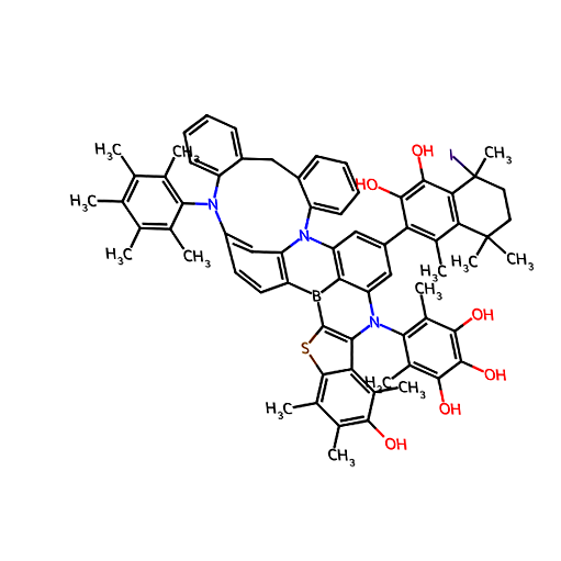 Cc1c(C)c(C)c(N2c3ccc4c(c3)N(c3ccccc3Cc3ccccc32)c2cc(-c3c(C)c5c(c(O)c3O)C(C)(I)CCC5(C)C)cc3c2B4c2sc4c(C)c(C)c(O)c(C)c4c2N3c2c(C)c(O)c(O)c(O)c2C)c(C)c1C